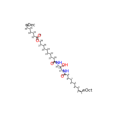 CCCCCCCC/C=C\CCCCCCCC(=O)NCC(O)CNC(=O)CCCCCCCCCOC(=O)CCCCCCCCCCCCCCC